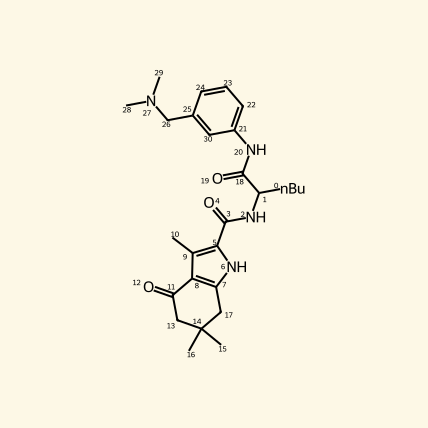 CCCCC(NC(=O)c1[nH]c2c(c1C)C(=O)CC(C)(C)C2)C(=O)Nc1cccc(CN(C)C)c1